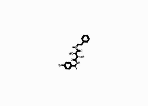 C[C@H](NC(=O)[C@H](O)[C@@H](O)C(=O)N(C)CCc1ccccc1)c1ccc(Br)cc1